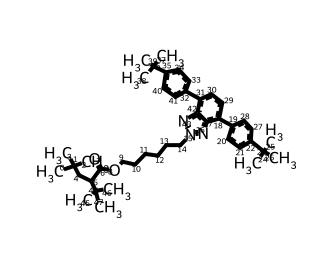 CC(C)(C)CC(C(=O)OCCCCCCn1nc2c(-c3ccc(C(C)(C)C)cc3)ccc(-c3ccc(C(C)(C)C)cc3)c2n1)C(C)(C)C